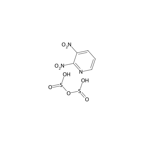 O=S(O)OS(=O)O.O=[N+]([O-])c1cccnc1[N+](=O)[O-]